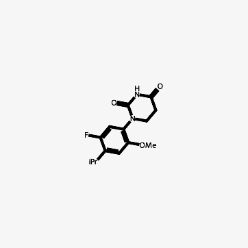 COc1cc(C(C)C)c(F)cc1N1CCC(=O)NC1=O